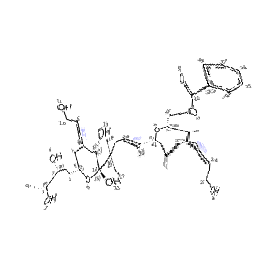 C[C@@H](O)[C@H](O)C[C@@H]1C/C(=C\CO)[C@H](O)[C@](O)(C(C)(C)/C=C/[C@H]2C/C(=C\CO)C[C@@H](COC(=O)c3ccccc3)O2)O1